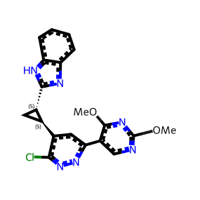 COc1ncc(-c2cc([C@H]3C[C@@H]3c3nc4ccccc4[nH]3)c(Cl)nn2)c(OC)n1